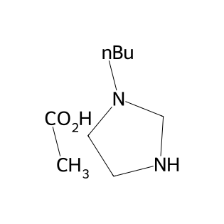 CC(=O)O.CCCCN1CCNC1